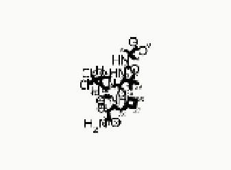 COC(=O)C(C)(C)NC(=O)N[C@H](C(=O)N1C[C@H]2[C@@H]([C@H]1C(=O)NC(CC1CCC1)C(=O)C(N)=O)C2(Cl)Cl)C(C)(C)C